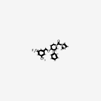 O=C(N1CC[C@H](OCc2cc(C(F)(F)F)cc(C(F)(F)F)c2)[C@H](c2ccccc2)C1)n1ccnc1